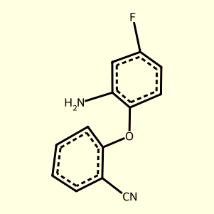 N#Cc1ccccc1Oc1ccc(F)cc1N